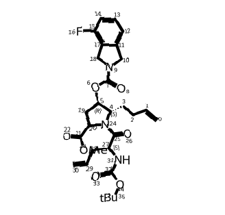 C=CCC[C@H]1[C@H](OC(=O)N2Cc3cccc(F)c3C2)CC(C(=O)OC)N1C(=O)[C@H](CC=C)NC(=O)OC(C)(C)C